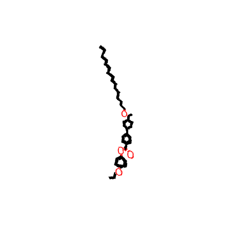 CCCCCCCCCCCCCCCCOC(C)c1ccc(-c2ccc(C(=O)Oc3ccc(OCCC)cc3)cc2)cc1